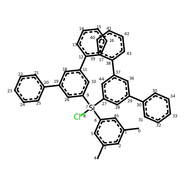 Cc1cc(C)cc([Si](Cl)(c2cc(-c3ccccc3)cc(-c3ccccc3)c2)c2cc(-c3ccccc3)cc(-c3ccccc3)c2)c1